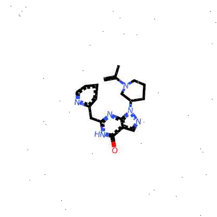 C=C(C)N1CCCC(n2ncc3c(=O)[nH]c(Cc4ccccn4)nc32)C1